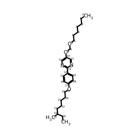 CCCCCCCOCOc1cnc(-c2ccc(OCCCCCC(C)CC)cc2)nc1